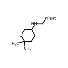 CCCCCCNC1CCC(C)(C)OC1